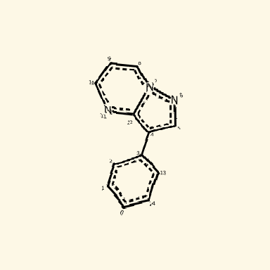 c1ccc(-c2cnn3cccnc23)cc1